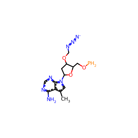 Cc1cn(C2CC(OCN=[N+]=[N-])C(COP)O2)c2ncnc(N)c12